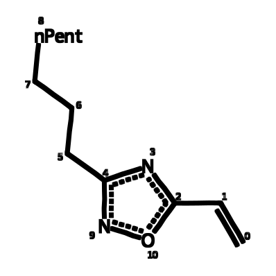 C=Cc1nc(CCCCCCCC)no1